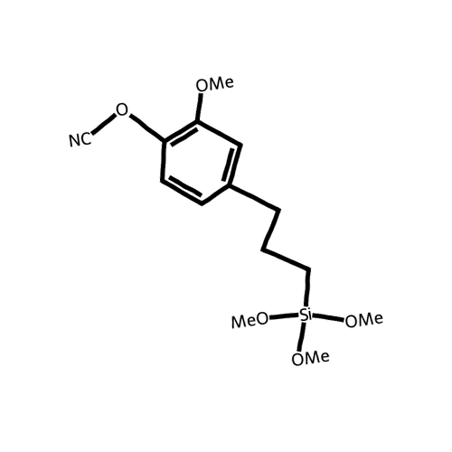 COc1cc(CCC[Si](OC)(OC)OC)ccc1OC#N